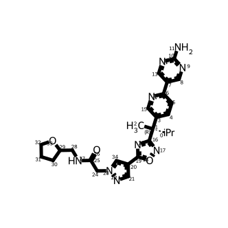 CC(C)[C@](C)(c1ccc(-c2cnc(N)nc2)nc1)c1noc(-c2cnn(CC(=O)NCC3CCCO3)c2)n1